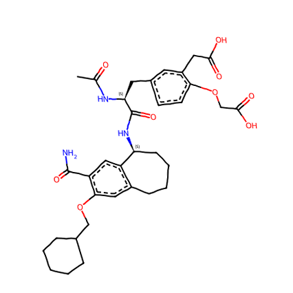 CC(=O)N[C@@H](Cc1ccc(OCC(=O)O)c(CC(=O)O)c1)C(=O)N[C@H]1CCCCc2cc(OCC3CCCCC3)c(C(N)=O)cc21